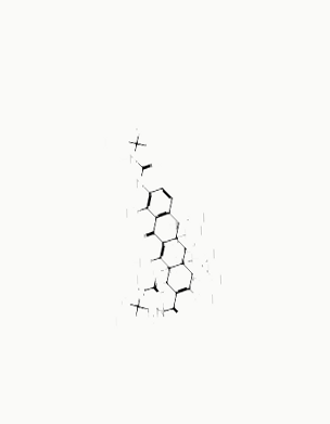 C[C@H]1c2ccc(NC(=O)NC(C)(C)C)c(O)c2C(=O)C2=C(O)[C@@]3(OC(=O)NC(C)(C)C)C(=O)C(C(N)=O)=C(O)[C@@H](N(C)C)[C@H]3[C@@H](O)[C@H]21